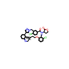 Cc1c(Cl)cccc1OCCC1C2=c3c(-c4cnn(Cc5cc(C(=O)NC6CCOC6=O)ccc5Cl)c4)cccc3=NC[C@@H]21